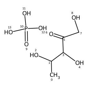 CC(O)C(O)C(=O)CO.O=P(O)(O)O